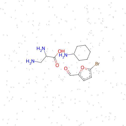 NC1CCCCC1.NCC(N)C(=O)O.O=Cc1ccc(Br)o1